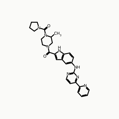 CC1CN(C(=O)c2cc3cc(Nc4nccc(-c5ccccn5)n4)ccc3[nH]2)CCN1C(=O)N1CCCC1